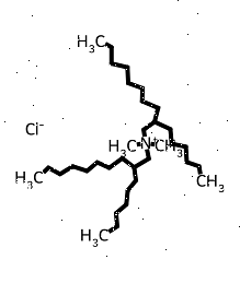 CCCCCCCCC(CCCCCC)C[N+](C)(C)CC(CCCCCC)CCCCCCCC.[Cl-]